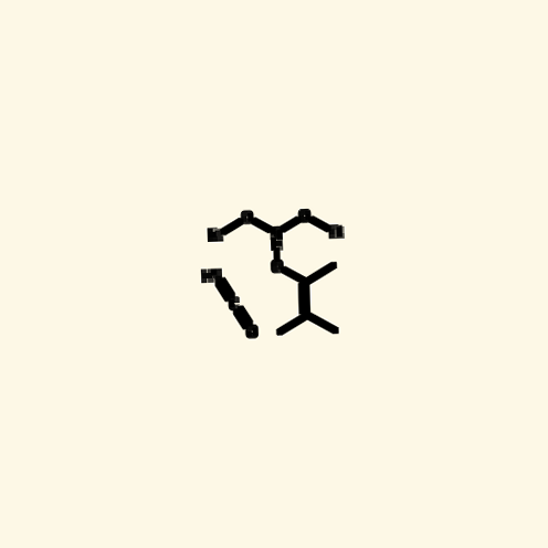 CCO[SiH](OCC)OC(C)=C(C)C.N=C=O